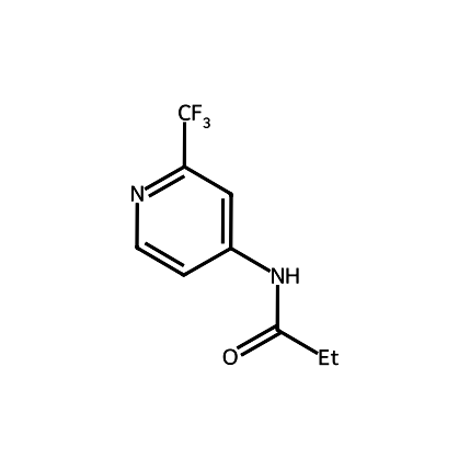 CCC(=O)Nc1ccnc(C(F)(F)F)c1